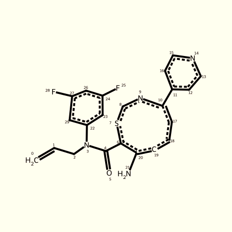 C=CCN(C(=O)c1scnc(-c2ccncc2)cccc1N)c1cc(F)cc(F)c1